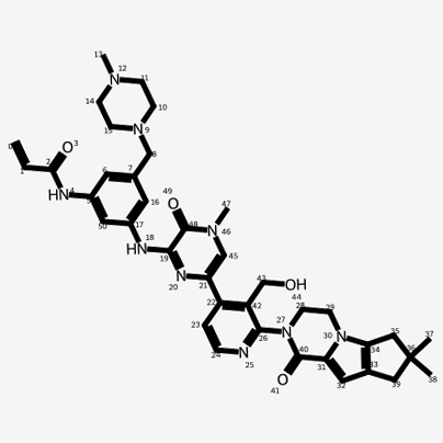 C=CC(=O)Nc1cc(CN2CCN(C)CC2)cc(Nc2nc(-c3ccnc(N4CCn5c(cc6c5CC(C)(C)C6)C4=O)c3CO)cn(C)c2=O)c1